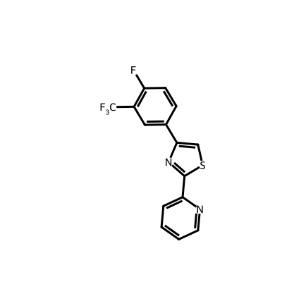 Fc1ccc(-c2csc(-c3ccccn3)n2)cc1C(F)(F)F